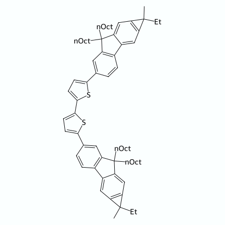 CCCCCCCCC1(CCCCCCCC)c2cc(-c3ccc(-c4ccc(-c5ccc6c(c5)C(CCCCCCCC)(CCCCCCCC)c5cc7c(cc5-6)C7(C)CC)s4)s3)ccc2-c2cc3c(cc21)C3(C)CC